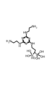 NCCNc1nc(NCCN)nc(NCCC([Si](O)(O)O)[Si](O)(O)O)n1